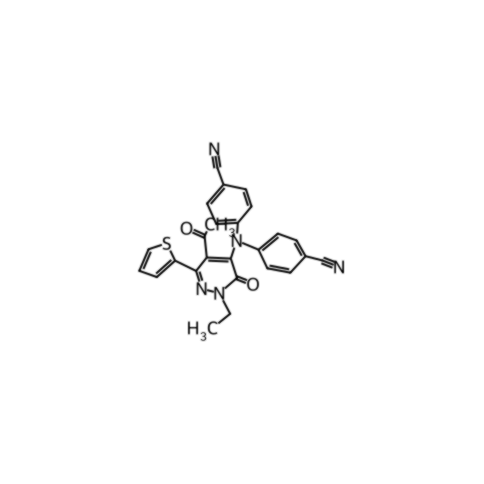 CCn1nc(-c2cccs2)c(C(C)=O)c(N(c2ccc(C#N)cc2)c2ccc(C#N)cc2)c1=O